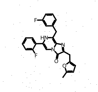 Cc1ccc(Cc2nc3c(Cc4cccc(F)c4)[nH]c(-c4ccccc4F)cn-3c2=O)o1